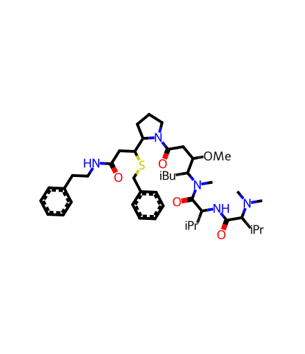 CCC(C)C(C(CC(=O)N1CCCC1C(CC(=O)NCCc1ccccc1)SCc1ccccc1)OC)N(C)C(=O)C(NC(=O)C(C(C)C)N(C)C)C(C)C